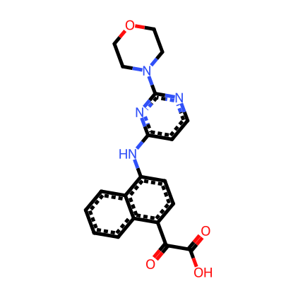 O=C(O)C(=O)c1ccc(Nc2ccnc(N3CCOCC3)n2)c2ccccc12